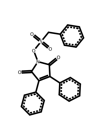 O=C1C(c2ccccc2)=C(c2ccccc2)C(=O)N1OS(=O)(=O)Cc1ccccc1